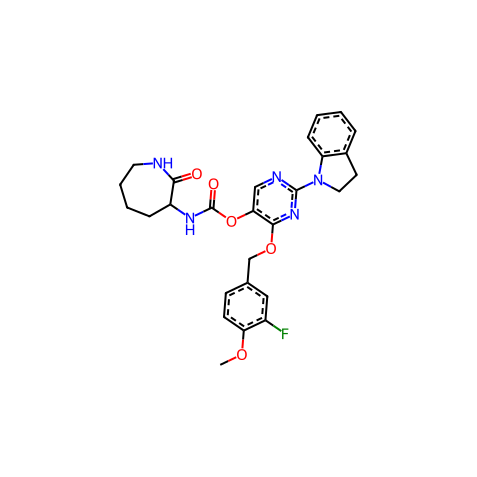 COc1ccc(COc2nc(N3CCc4ccccc43)ncc2OC(=O)NC2CCCCNC2=O)cc1F